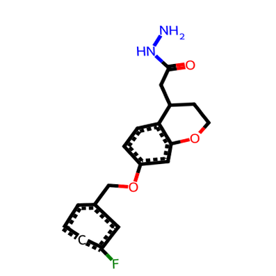 NNC(=O)CC1CCOc2cc(OCc3cccc(F)c3)ccc21